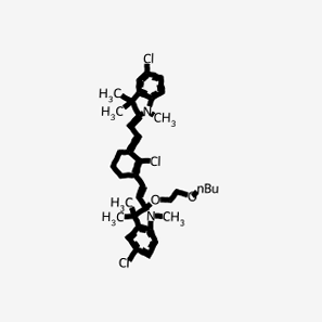 CCCCOCCOC1(/C=C/C2=C(Cl)C(=C/C=C3\N(C)c4ccc(Cl)cc4C3(C)C)/CCC2)N(C)c2ccc(Cl)cc2C1(C)C